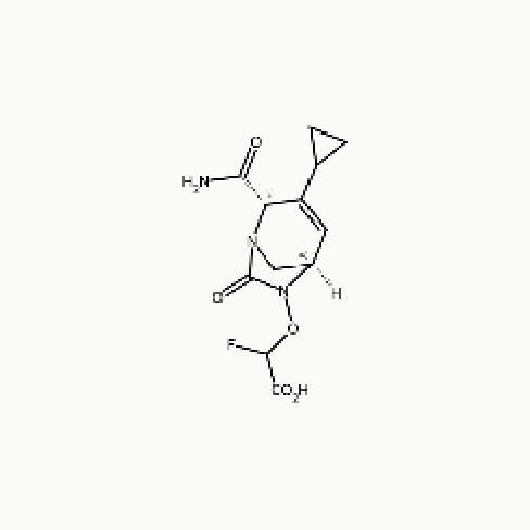 NC(=O)[C@@H]1C(C2CC2)=C[C@@H]2CN1C(=O)N2OC(F)C(=O)O